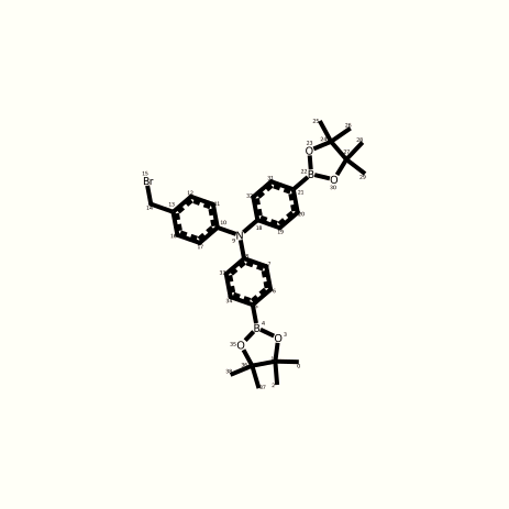 CC1(C)OB(c2ccc(N(c3ccc(CBr)cc3)c3ccc(B4OC(C)(C)C(C)(C)O4)cc3)cc2)OC1(C)C